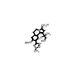 COc1cc2c(cc1-c1nnn(C)n1)-c1c(C(C)(C)CO)cc(C(=O)O)n1CC2